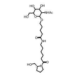 CC(=O)NC1C(OCCCCC(=O)NCCCCCC(=O)N2CCC[C@H]2CO)OC(CO)C(O)C1O